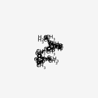 COc1cc2c(cc1OCCCOc1cc3c(cc1C)C(=O)N1C=C(OS(=O)(=O)C(F)(F)F)C[C@@]1(C)C(=O)N3COCC[Si](C)(C)C)N(COCC[Si](C)(C)C)C(=O)[C@@H]1CC(C)=CN1C2=O